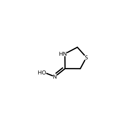 ON=C1CSCN1